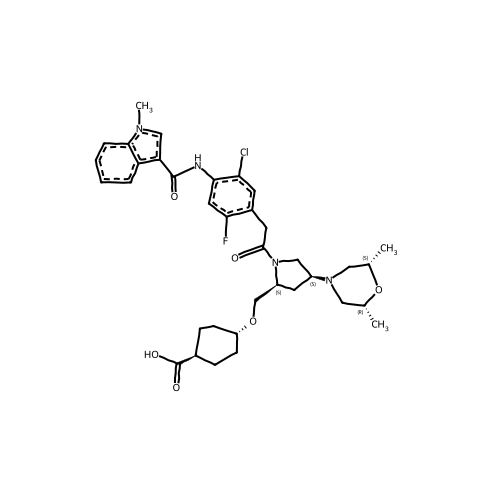 C[C@@H]1CN([C@H]2C[C@@H](CO[C@H]3CC[C@H](C(=O)O)CC3)N(C(=O)Cc3cc(Cl)c(NC(=O)c4cn(C)c5ccccc45)cc3F)C2)C[C@H](C)O1